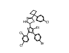 CCc1c(C2NN=C(C3(c4ccc(Cl)cc4)CCC3)S2)nc(-c2ccc(Cl)cc2Cl)n1-c1ccc(Br)cc1